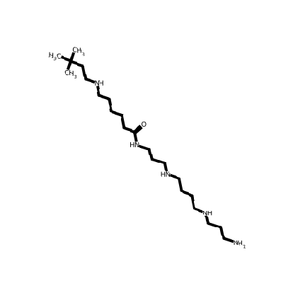 CC(C)(C)CCNCCCCCC(=O)NCCCNCCCCNCCCN